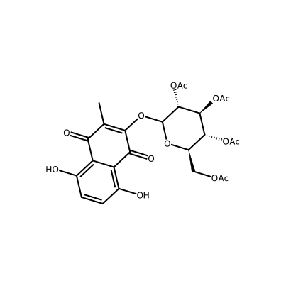 CC(=O)OC[C@H]1OC(OC2=C(C)C(=O)c3c(O)ccc(O)c3C2=O)[C@H](OC(C)=O)[C@@H](OC(C)=O)[C@@H]1OC(C)=O